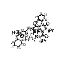 CC(C)[C@H](N)C(=O)N[C@H](C(=O)N(c1ccccc1)[C@H](C(=O)NC[C@@H](O)CP(=O)(O)CC1CCCCC1)C(C)C)C(C)C